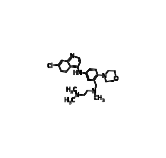 CN(C)CCN(C)Cc1cc(Nc2ccnc3cc(Cl)ccc23)ccc1N1CCOCC1